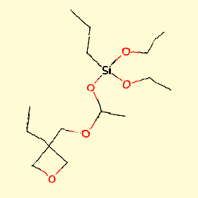 CCC[Si](OCC)(OCC)OC(C)OCC1(CC)COC1